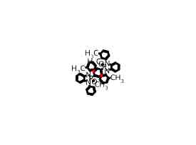 Cc1ccccc1N1c2ccccc2N(C2=CC=CC(C)C2C)P1(=O)c1ccc(P2(=O)N(c3ccccc3C)c3ccccc3N2c2ccccc2C)cc1